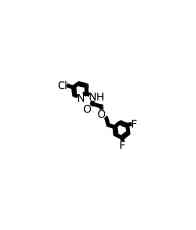 O=C(COCCc1cc(F)cc(F)c1)Nc1ccc(Cl)cn1